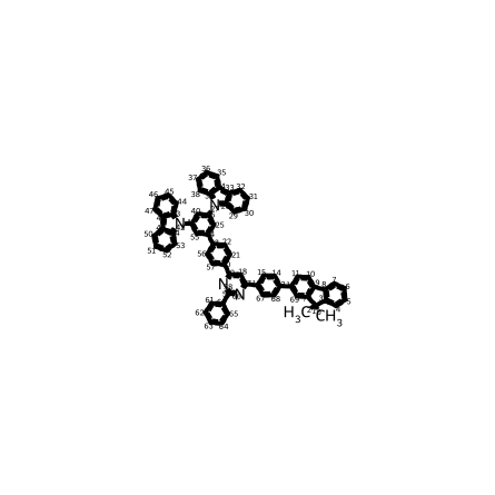 CC1(C)c2ccccc2-c2ccc(-c3ccc(-c4cc(-c5ccc(-c6cc(-n7c8ccccc8c8ccccc87)cc(-n7c8ccccc8c8ccccc87)c6)cc5)nc(-c5ccccc5)n4)cc3)cc21